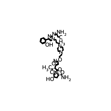 CC/C(N)=N\c1nc(-c2ccccc2O)cn1CCCN1CCN(CCOc2cc([C@H](C(=O)N3C[C@H](O)C[C@H]3C(N)=O)C(C)C)on2)CC1